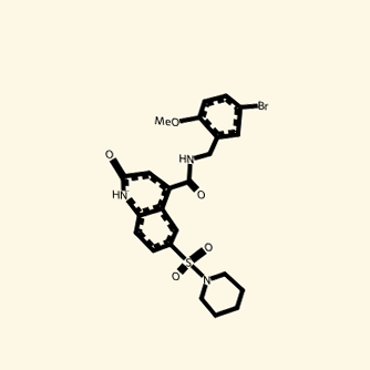 COc1ccc(Br)cc1CNC(=O)c1cc(=O)[nH]c2ccc(S(=O)(=O)N3CCCCC3)cc12